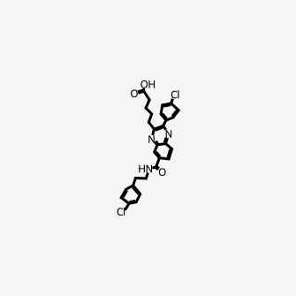 O=C(O)CCCCc1nc2cc(C(=O)NCCc3ccc(Cl)cc3)ccc2nc1-c1ccc(Cl)cc1